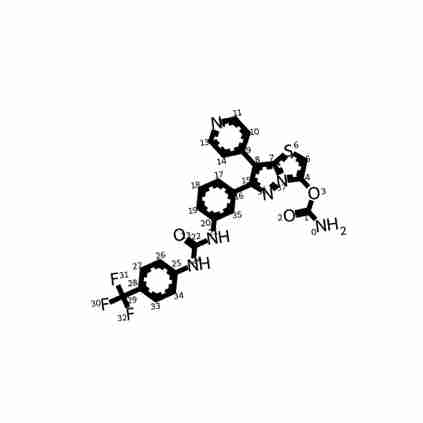 NC(=O)Oc1csc2c(-c3ccncc3)c(-c3cccc(NC(=O)Nc4ccc(C(F)(F)F)cc4)c3)nn12